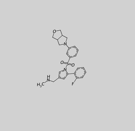 CNCc1cc(-c2ccccc2F)n(S(=O)(=O)c2cccc(N3CC4COCC4C3)c2)c1